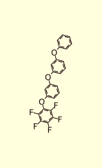 Fc1c(F)c(F)c(Oc2cccc(Oc3cccc(Oc4ccccc4)c3)c2)c(F)c1F